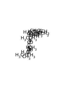 CC(C)CCC[C@@H](C)[C@H]1CC[C@H]2[C@@H]3CC=C4C[C@@H](OC(=O)N(CCCCNCC(C)(C)CNC(=O)OC(C)(C)C)CC(C)(C)CNC(=O)OC(C)(C)C)CC[C@]4(C)[C@H]3CC[C@]12C